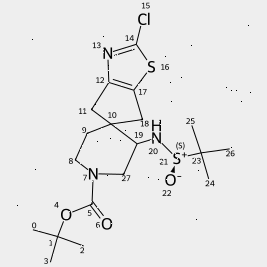 CC(C)(C)OC(=O)N1CCC2(Cc3nc(Cl)sc3C2)C(N[S@+]([O-])C(C)(C)C)C1